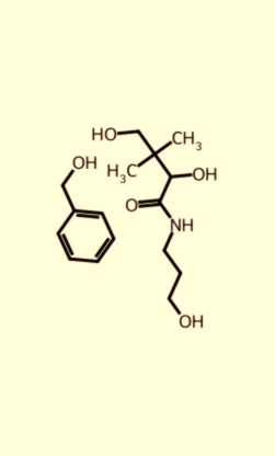 CC(C)(CO)C(O)C(=O)NCCCO.OCc1ccccc1